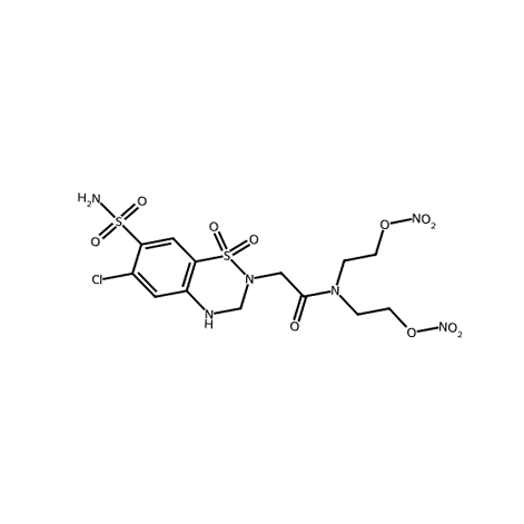 NS(=O)(=O)c1cc2c(cc1Cl)NCN(CC(=O)N(CCO[N+](=O)[O-])CCO[N+](=O)[O-])S2(=O)=O